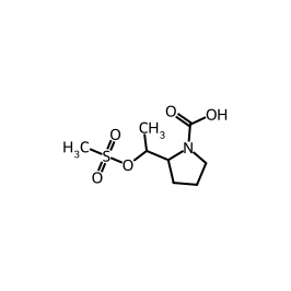 CC(OS(C)(=O)=O)C1CCCN1C(=O)O